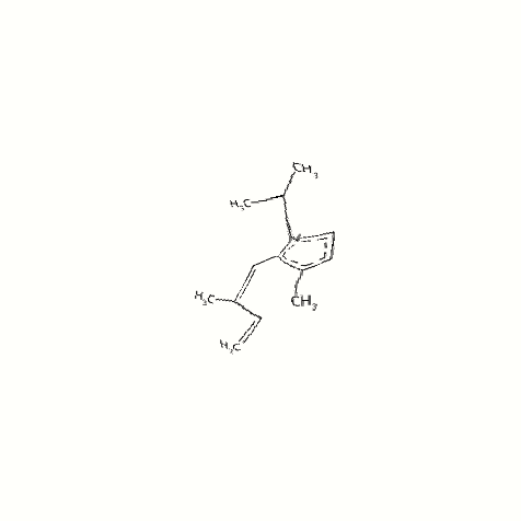 C=C/C(C)=C\c1c(C)ccn1C(C)C